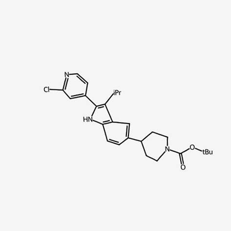 CC(C)c1c(-c2ccnc(Cl)c2)[nH]c2ccc(C3CCN(C(=O)OC(C)(C)C)CC3)cc12